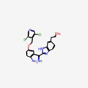 N=C(c1nc2ccc(CCO)cc2[nH]1)c1cc(OCc2c(Cl)cncc2Cl)ccc1N